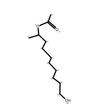 CC(=O)OC(C)CCCCCCCCO